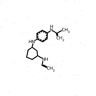 C=CNC1CCCC(Nc2ccc(NC(=C)C)cc2)C1